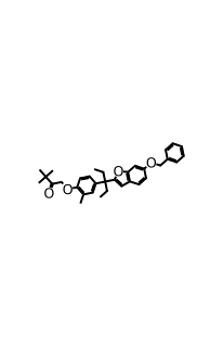 CCC(CC)(c1ccc(OCC(=O)C(C)(C)C)c(C)c1)c1cc2ccc(OCc3ccccc3)cc2o1